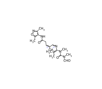 CC(C)=C(/N=C\C(C)=C/CC(=O)Nc1c(C)noc1C)N(C)C(=O)N(C)C=O